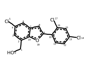 OCc1cc(Cl)cc2cc(-c3ccc(Cl)cc3Cl)oc12